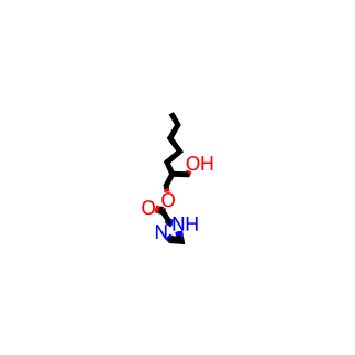 CCCCCC(CO)COC(=O)c1ncc[nH]1